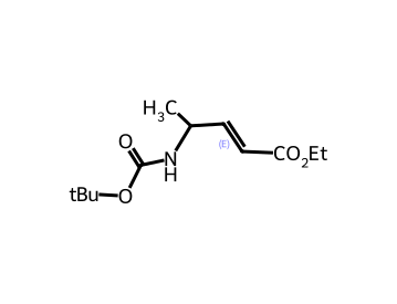 CCOC(=O)/C=C/C(C)NC(=O)OC(C)(C)C